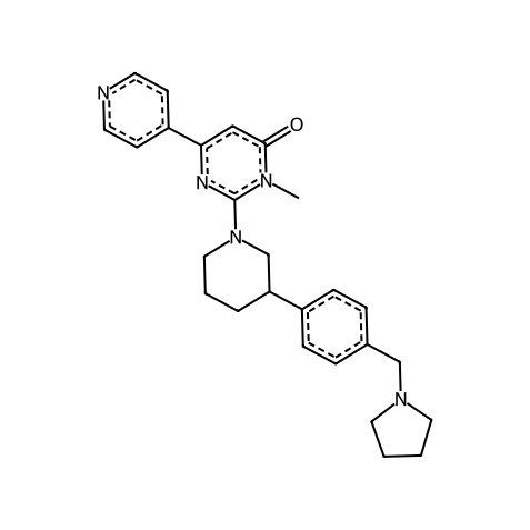 Cn1c(N2CCCC(c3ccc(CN4CCCC4)cc3)C2)nc(-c2ccncc2)cc1=O